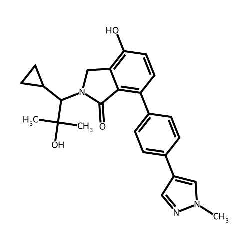 Cn1cc(-c2ccc(-c3ccc(O)c4c3C(=O)N(C(C3CC3)C(C)(C)O)C4)cc2)cn1